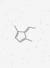 CC=C1C(C)=CC=C1C